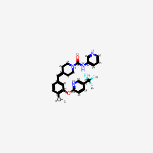 Cc1ccc(C=C2CCN(C(=O)Nc3cccnc3)CC2)cc1Oc1ccc(C(F)(F)F)cn1